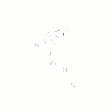 COc1cc(C)c(S(=O)(=O)N2CCN(C)CC2COCC(=O)N2CCN(CCCN(C)C)CC2)c(C)c1